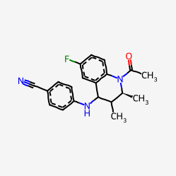 CC(=O)N1c2ccc(F)cc2C(Nc2ccc(C#N)cc2)C(C)[C@@H]1C